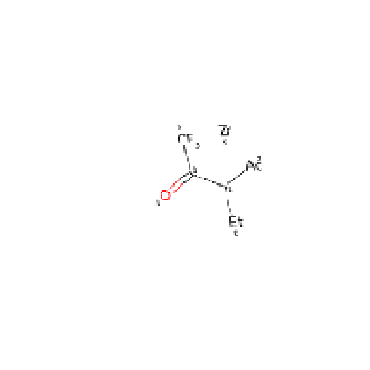 CCC(C(C)=O)C(=O)C(F)(F)F.[Zr]